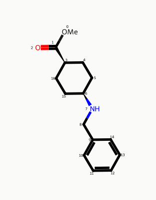 COC(=O)[C@H]1CC[C@@H](NCc2ccccc2)CC1